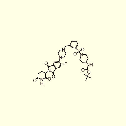 CC(C)(C)OC(=O)NC1CCN(S(=O)(=O)c2cccc(CN3CCN(c4cc5c(cc4F)C(=O)N(C4CCC(=O)NC4=O)C5=O)CC3)c2)CC1